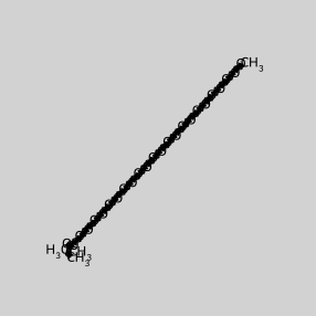 CCC(C)(C)C(=O)OCCOCCOCCOCCOCCOCCOCCOCCOCCOCCOCCOCCOCCOCCOCCOCCOCCOCCOCCOCCOCCOCCOCCOC